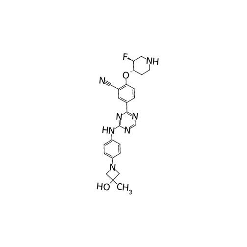 CC1(O)CN(c2ccc(Nc3ncnc(-c4ccc(O[C@H]5CCNC[C@@H]5F)c(C#N)c4)n3)cc2)C1